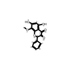 COc1c(O)cc(O)c2c1OC(c1ccccc1)C(=O)C2=O